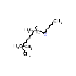 CCCCCC/C=C\COC(=O)C(C)CCCCCCC(C)(C)CCC